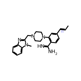 C/C=C/c1ccc(C(=N)N)c(N2CCN(Cc3nc4ccccc4n3C)CC2)c1